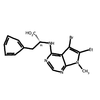 CCc1c(Br)c2c(N[C@H](Cc3ccccc3)C(=O)O)ncnc2n1C